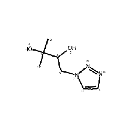 CC(C)(O)C(O)Cn1ccnn1